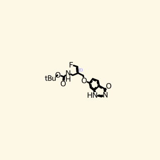 CC(C)(C)OC(=O)NC/C(=C\F)COc1ccc2c(=O)nc[nH]c2c1